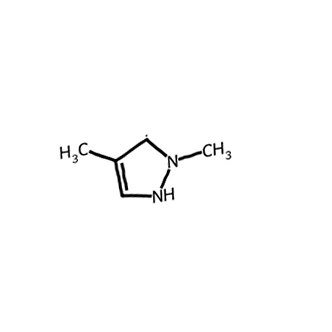 CC1=CNN(C)[CH]1